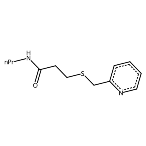 CCCNC(=O)CCSCc1ccccn1